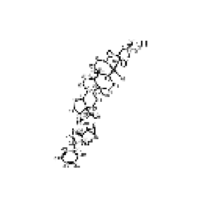 CC(C)(CC(=O)OC1CCC2(C)C(CCC3(C)C4CCC5(C(=O)NC6(c7ncc(-c8ccccc8)[nH]7)CC6)CCCC5C4CCC32)C1(C)C)C(=O)O